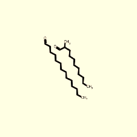 CCCCCCCCCC(C)C=O.CCCCCCCCCCCCCC=O